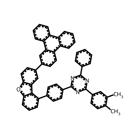 Cc1ccc(-c2nc(-c3ccccc3)nc(-c3ccc(-c4cccc5oc6ccc(-c7ccc8c9ccccc9c9ccccc9c8c7)cc6c45)cc3)n2)cc1C